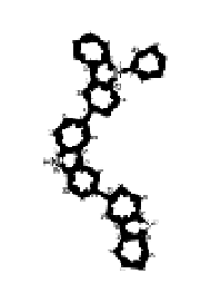 c1ccc(-n2c3ccccc3c3cc(-c4ccc5[nH]c6ccc(-c7ccc8sc9ccccc9c8c7)cc6c5c4)ccc32)cc1